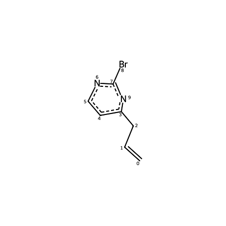 C=CCc1ccnc(Br)n1